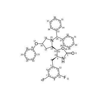 O=C1N[C@@H](Cc2cc(F)cc(F)c2)[C@@H](C2CC(Oc3ccccc3)CN2C(c2ccccc2)c2ccccc2)O1